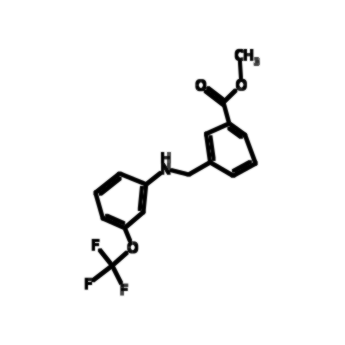 COC(=O)c1cccc(CNc2cccc(OC(F)(F)F)c2)c1